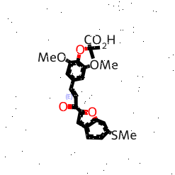 COc1cc(/C=C/C(=O)c2cc3ccc(SC)cc3o2)cc(OC)c1OC(C)(C)C(=O)O